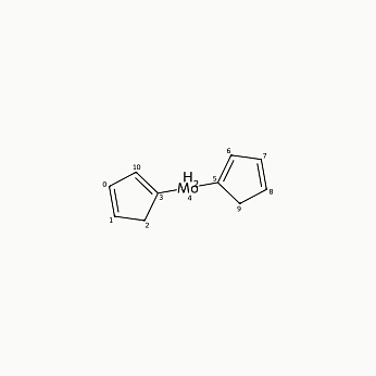 C1=CC[C]([MoH2][C]2=CC=CC2)=C1